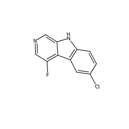 Fc1cncc2[nH]c3ccc(Cl)cc3c12